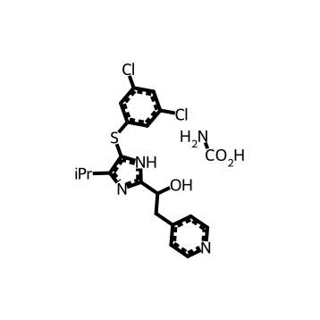 CC(C)c1nc(C(O)Cc2ccncc2)[nH]c1Sc1cc(Cl)cc(Cl)c1.NC(=O)O